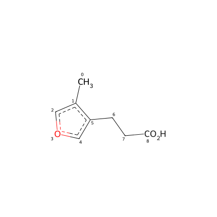 Cc1cocc1CCC(=O)O